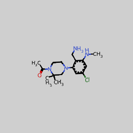 CNc1cc(Cl)cc(N2CCN(C(C)=O)C(C)(C)C2)c1CN